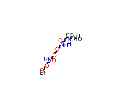 CCOCCOCCNC(=O)COCCOCCNC(=O)CC[C@H](NC=O)C(=O)O